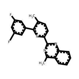 Cc1ccc(-c2nc(C)c3ccccc3n2)nc1-c1cc(F)cc(F)c1